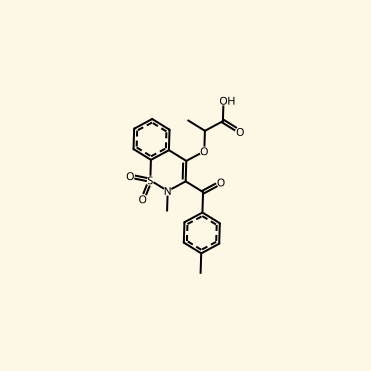 Cc1ccc(C(=O)C2=C(OC(C)C(=O)O)c3ccccc3S(=O)(=O)N2C)cc1